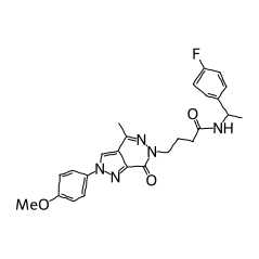 COc1ccc(-n2cc3c(C)nn(CCCC(=O)NC(C)c4ccc(F)cc4)c(=O)c3n2)cc1